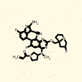 C=CC(=O)N1CCC(N(C)c2nc(OCC34CCCN3CC(F)C4)nc3c(F)c(-c4ccc(F)c5sc(N)c(C#N)c45)c(F)cc23)C1